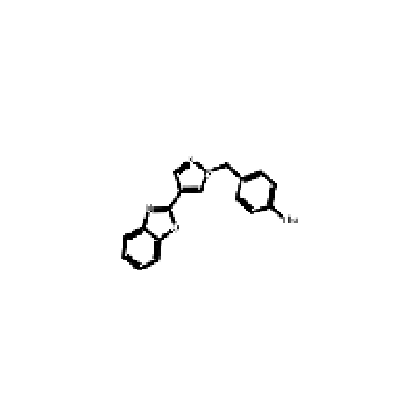 CC(C)(C)c1ccc(Cn2cc(-c3nc4ccccc4o3)cn2)cc1